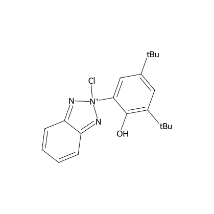 CC(C)(C)c1cc(C(C)(C)C)c(O)c([N+]2(Cl)N=c3ccccc3=N2)c1